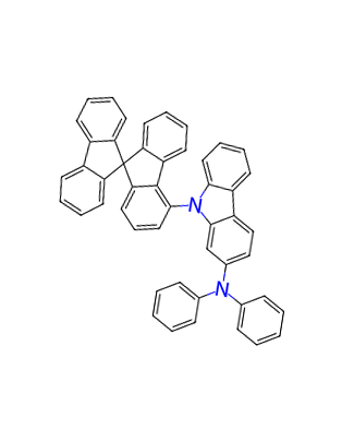 c1ccc(N(c2ccccc2)c2ccc3c4ccccc4n(-c4cccc5c4-c4ccccc4C54c5ccccc5-c5ccccc54)c3c2)cc1